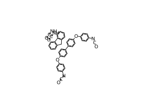 N=C=O.N=C=O.O=C=Nc1ccc(Oc2ccc(-c3ccc(Oc4ccc(N=C=O)cc4)cc3)cc2)cc1.c1ccc2c(c1)Cc1ccccc1-2